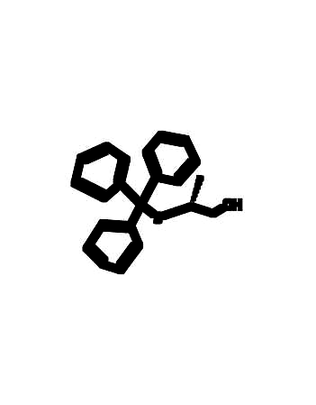 C[C@H](CO)SC(c1ccccc1)(c1ccccc1)c1ccccc1